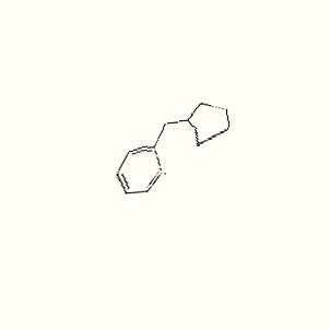 [c]1ccccc1CC1CCCC1